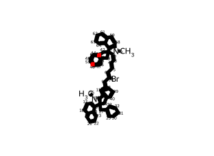 CN1/C(=C/C=C/C=C(Br)/C=C/C=C/C2=[N+](C)c3ccc4ccccc4c3C2(Cc2ccccc2)Cc2ccccc2)C(Cc2ccccc2)(Cc2ccccc2)c2c1ccc1ccccc21